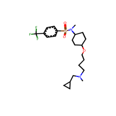 CN(CCCCOC1CCC(N(C)S(=O)(=O)c2ccc(C(F)(F)F)cc2)CC1)CC1CC1